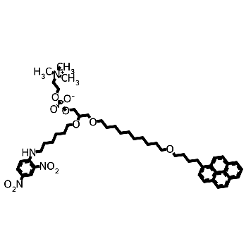 C[N+](C)(C)CCOP(=O)([O-])OCC(COCCCCCCCCCCOCCCCc1ccc2ccc3cccc4ccc1c2c34)OCCCCCCNc1ccc([N+](=O)[O-])cc1[N+](=O)[O-]